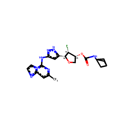 O=C(NC12CC(C1)C2)O[C@@H]1CO[C@H](c2cc(Nc3nc(C(F)(F)F)cc4nccn34)n[nH]2)[C@@H]1F